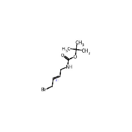 CC(C)(C)OC(=O)NC/C=C/CBr